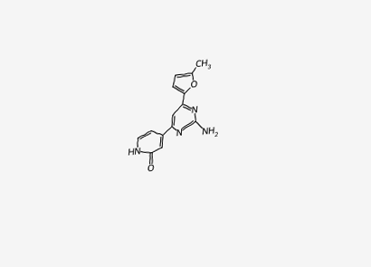 Cc1ccc(-c2cc(-c3cc[nH]c(=O)c3)nc(N)n2)o1